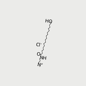 C[N+](C)(C)CCCNC(=O)CCCCCCCCCCCCCCCCCO.[Cl-]